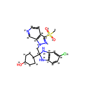 CS(=O)(=O)c1nn(CC2(C3CCC(O)CC3)Nc3ccc(Cl)cc3N2)c2cnccc12